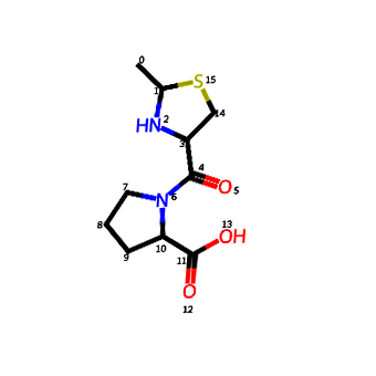 CC1NC(C(=O)N2CCCC2C(=O)O)CS1